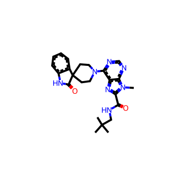 Cn1c(C(=O)NCC(C)(C)C)nc2c(N3CCC4(CC3)C(=O)Nc3ccccc34)ncnc21